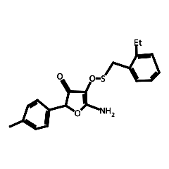 CCc1ccccc1CSOC1=C(N)OC(c2ccc(C)cc2)C1=O